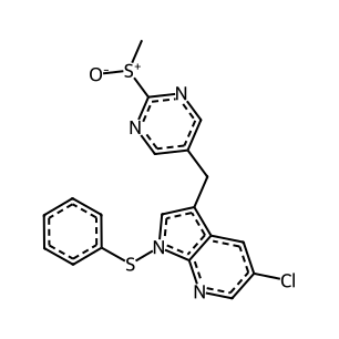 C[S+]([O-])c1ncc(Cc2cn(Sc3ccccc3)c3ncc(Cl)cc23)cn1